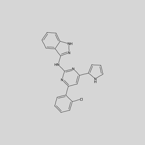 Clc1ccccc1-c1cc(-c2ccc[nH]2)nc(Nc2n[nH]c3ccccc23)n1